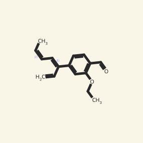 C=C/C(=C\C=C/C)c1ccc(C=O)c(OCC)c1